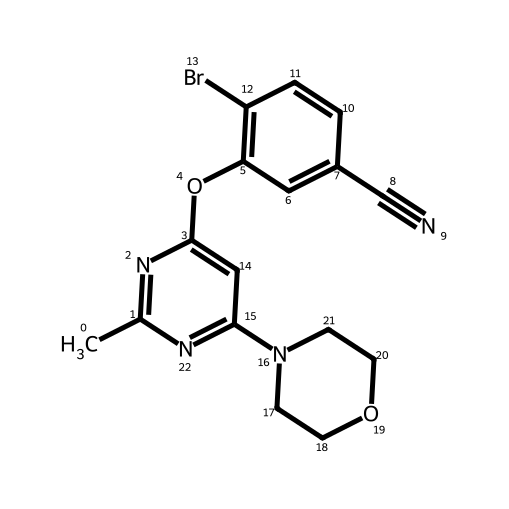 Cc1nc(Oc2cc(C#N)ccc2Br)cc(N2CCOCC2)n1